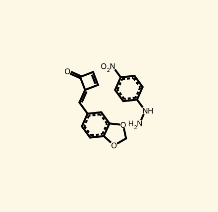 NNc1ccc([N+](=O)[O-])cc1.O=C1C=CC1=Cc1ccc2c(c1)OCO2